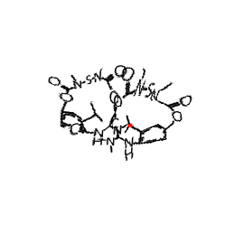 CC(C)c1cc2ccc1NC(N(C)C)CC1(OC(=O)N(C)SN(C)C(=O)O2)OC(=O)N(C)SN(C)C(=O)Oc2ccc(c(C(C)C)c2)NC1N(C)C